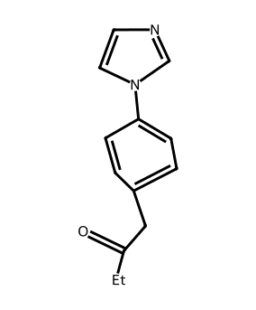 CCC(=O)Cc1ccc(-n2ccnc2)cc1